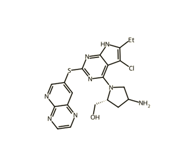 CCc1[nH]c2nc(Sc3cnc4nccnc4c3)nc(N3CC(N)C[C@@H]3CO)c2c1Cl